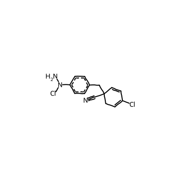 N#CC1(Cc2ccc(N(N)Cl)cc2)C=CC(Cl)=CC1